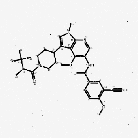 COc1ccc(C(=O)Nc2cnc3c(c(C4CCN(C(=O)[C@@H](C)C(C)(C)C)CC4)cn3C)c2OC)cc1C#N